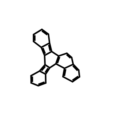 c1ccc2c(c1)ccc1c2c2c3ccccc3c2c2c3ccccc3c12